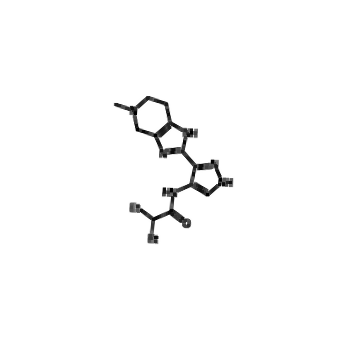 CCC(CC)C(=O)Nc1c[nH]nc1-c1nc2c([nH]1)CCN(C)C2